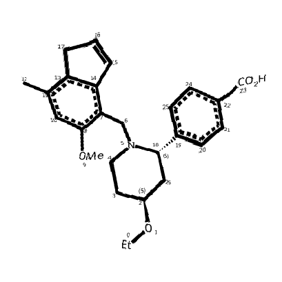 CCO[C@H]1CCN(Cc2c(OC)cc(C)c3c2C=CC3)[C@H](c2ccc(C(=O)O)cc2)C1